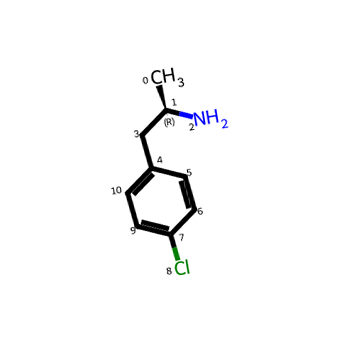 C[C@@H](N)Cc1ccc(Cl)cc1